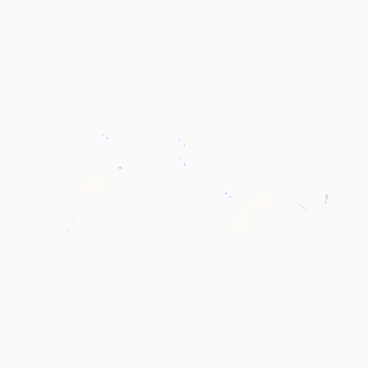 O=C(OCc1ccccc1)N1CCC(n2cc(-c3cncc(OCc4ccccc4Cl)c3)cn2)CC1